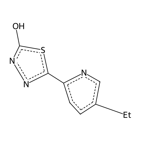 CCc1ccc(-c2nnc(O)s2)nc1